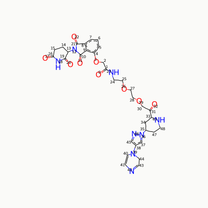 O=C(COc1cccc2c1C(=O)N(C1CCC(=O)NC1=O)C2=O)NCCOCCOCC(=O)C1CC(n2cc(N3C=CN=CC3)cn2)CCN1